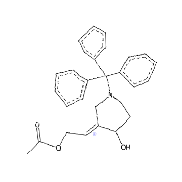 CC(=O)OC/C=C1\CN(C(c2ccccc2)(c2ccccc2)c2ccccc2)CCC1O